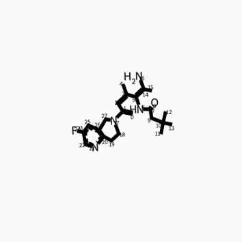 C=C(/C=C(C)\C(NC(=O)CC(C)(C)C)=C(\C)N)N1CCc2ncc(F)cc2C1